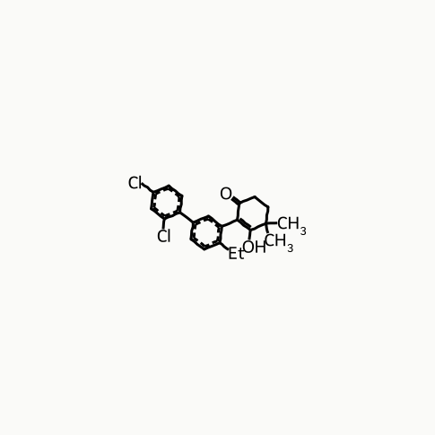 CCc1ccc(-c2ccc(Cl)cc2Cl)cc1C1=C(O)C(C)(C)CCC1=O